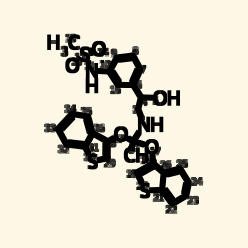 CC(NCC(O)c1cccc(NS(C)(=O)=O)c1)(Oc1csc2ccccc12)Oc1csc2ccccc12